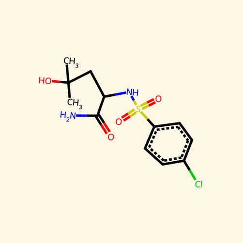 CC(C)(O)CC(NS(=O)(=O)c1ccc(Cl)cc1)C(N)=O